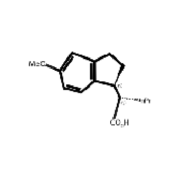 CCC[C@H](C(=O)O)[C@@H]1CCc2cc(OC)ccc21